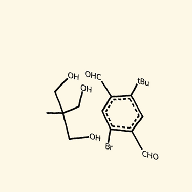 CC(C)(C)c1cc(C=O)c(Br)cc1C=O.CC(CO)(CO)CO